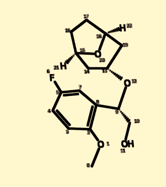 COc1ccc(F)cc1[C@@H](CO)O[C@@H]1C[C@H]2CC[C@@H](C1)O2